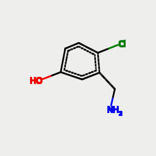 NCc1cc(O)ccc1Cl